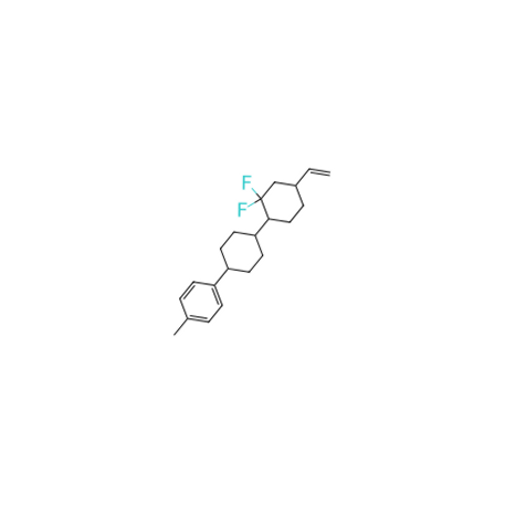 C=CC1CCC(C2CCC(c3ccc(C)cc3)CC2)C(F)(F)C1